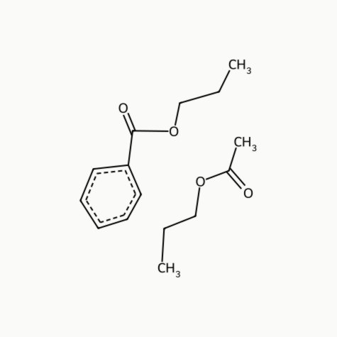 CCCOC(=O)c1ccccc1.CCCOC(C)=O